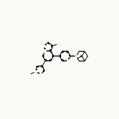 CC(=O)NC1(C)C2CC1CN(c1ccc(-c3cc(-c4cnn(C)c4)cn4ncc(C#N)c34)cn1)C2